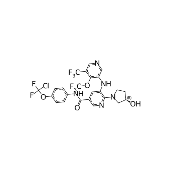 O=C(Nc1ccc(OC(F)(F)Cl)cc1)c1cnc(N2CC[C@@H](O)C2)c(Nc2cncc(C(F)(F)F)c2OC(F)(F)F)c1